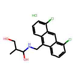 CC(CO)C(O)NCc1c2cccc(Cl)c2cc2c(Cl)cccc12.Cl